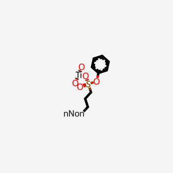 CCCCCCCCCCCCS(=O)(=O)Oc1ccccc1.[O]=[Ti]=[O]